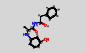 C[C@H](Nc1cccc(O)c1)C(=O)NC(=O)Cc1ccccc1